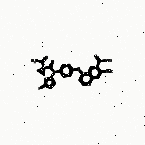 CNC(=O)c1cc2c(Oc3ccc(N(C(=O)C4(C(N)=O)CC4)c4ccc(F)s4)cc3)ccnc2cc1OC